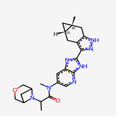 CC(C(=O)N(C)c1cnc2[nH]c(-c3n[nH]c4c3C[C@@H]3C[C@]3(C)C4)nc2c1)N1C2COCC1C2